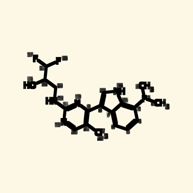 CP(C)c1cccc2c(-c3nc(NCC(O)C(F)F)ncc3C(F)(F)F)c[nH]c12